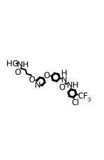 O=C(CCCOc1cc(Oc2ccc(NC(=O)Nc3ccc(Cl)c(C(F)(F)F)c3)cc2)ccn1)NO